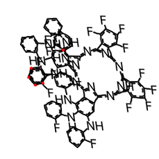 Fc1ccccc1Nc1cc2c(c(Nc3ccccc3F)c1Nc1ccccc1F)-c1nc-2nc2[nH]c(nc3nc(nc4c5c(Nc6ccccc6F)c(Nc6ccccc6F)c(Nc6ccccc6F)c(Nc6ccccc6F)c5c(n1)n4Nc1ccccc1F)-c1c(F)c(F)c(F)c(F)c1-3)c1c(F)c(F)c(F)c(F)c21